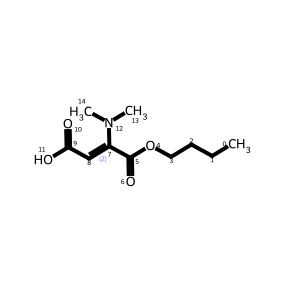 CCCCOC(=O)/C(=C/C(=O)O)N(C)C